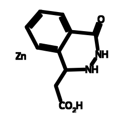 O=C(O)CC1NNC(=O)c2ccccc21.[Zn]